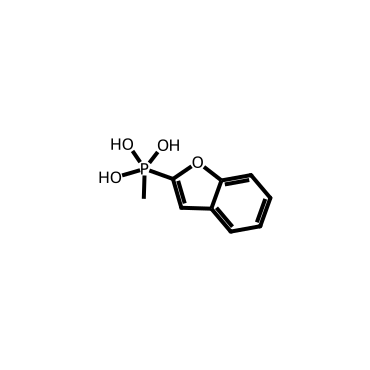 CP(O)(O)(O)c1cc2ccccc2o1